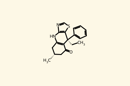 CC[C@]1(c2ccccc2)C2=C(C[C@@H](C)CC2=O)Nc2ncsc21